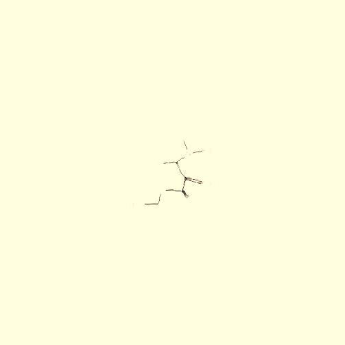 C=C(C(=O)OCC)C(C)N(C)C